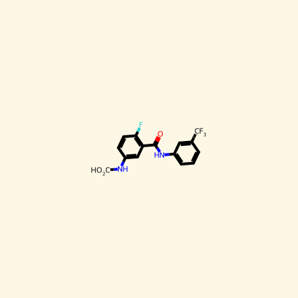 O=C(O)Nc1ccc(F)c(C(=O)Nc2cccc(C(F)(F)F)c2)c1